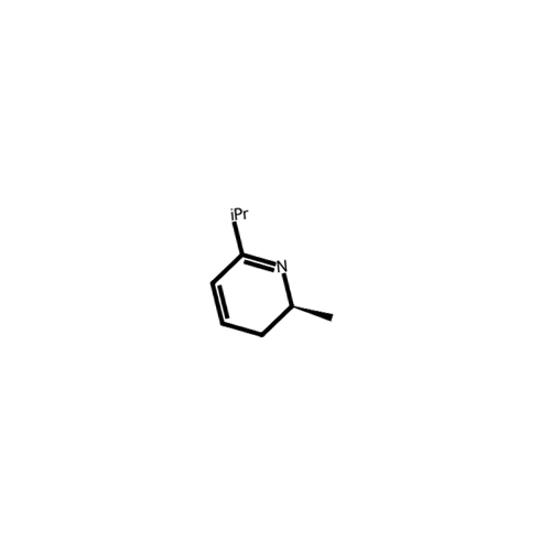 CC(C)C1=N[C@@H](C)CC=C1